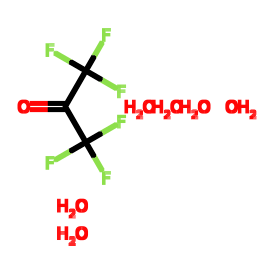 O.O.O.O.O.O.O=C(C(F)(F)F)C(F)(F)F